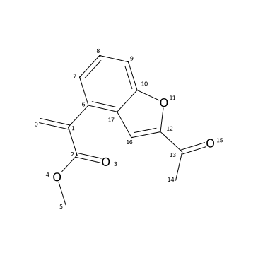 C=C(C(=O)OC)c1cccc2oc(C(C)=O)cc12